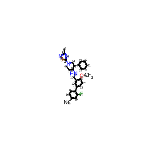 Cc1nsc(N2CC[C@H](NCc3cc(-c4ccc(C#N)cc4F)ccc3OC(F)(F)F)[C@H](c3ccccc3)C2)n1